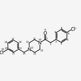 O=C(Cc1ccc(Cl)cc1)N1CCN(Cc2cccc(Cl)c2)CC1